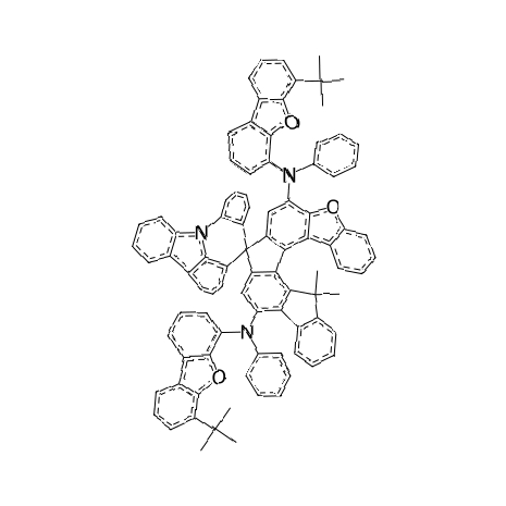 CC(C)(C)c1cccc2c1oc1c(N(c3ccccc3)c3cc4c(c5c3-c3ccccc3C5(C)C)-c3c(cc(N(c5ccccc5)c5cccc6c5oc5c(C(C)(C)C)cccc56)c5oc6ccccc6c35)C43c4ccccc4-n4c5ccccc5c5cccc3c54)cccc12